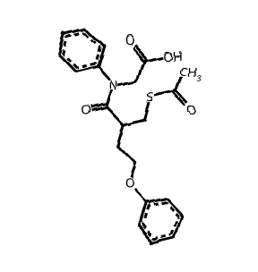 CC(=O)SCC(CCOc1ccccc1)C(=O)N(CC(=O)O)c1ccccc1